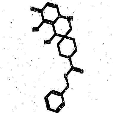 O=C(OCc1ccccc1)N1CCC2(CC1)CNn1ccc(=O)c(O)c1C2O